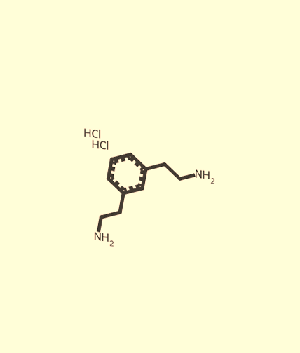 Cl.Cl.NCCc1cccc(CCN)c1